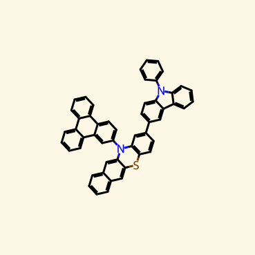 c1ccc(-n2c3ccccc3c3cc(-c4ccc5c(c4)N(c4ccc6c7ccccc7c7ccccc7c6c4)c4cc6ccccc6cc4S5)ccc32)cc1